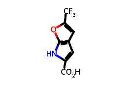 O=C(O)c1cc2cc(C(F)(F)F)oc2[nH]1